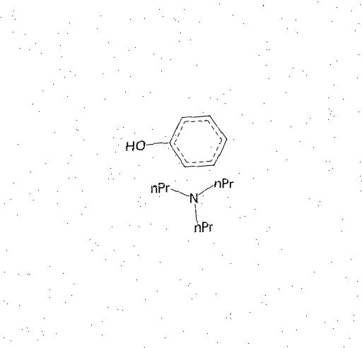 CCCN(CCC)CCC.Oc1ccccc1